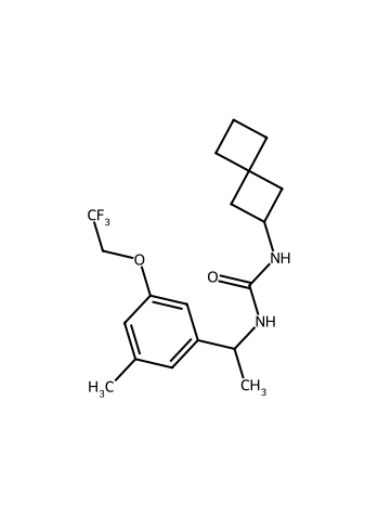 Cc1cc(OCC(F)(F)F)cc(C(C)NC(=O)NC2CC3(CCC3)C2)c1